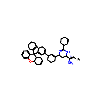 CCC/C=C(\N)C1CC(C2=CC(C3=CCC(C)C(C4(C5=CCCCC5)c5ccccc5OC5CC=CCC54)=C3)CCC2)N=C(C2C=CCCC2)N1